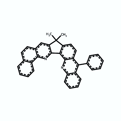 CC1(C)c2cc3ccc4ccccc4c3nc2-c2c1ccc1c(-c3ccccc3)c3ccccc3nc21